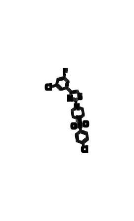 O=S(=O)(c1ccc(Cl)cc1)N1CCN(c2nc(-c3cc(F)cc(Cl)c3)cs2)CC1